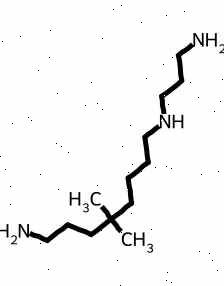 CC(C)(CCCN)CCCCNCCCN